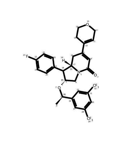 C[C@@H](O[C@H]1CN2C(=O)C=C(C3=CCOCC3)C[C@H]2C1c1ccc(F)cc1)c1cc(C(F)(F)F)cc(C(F)(F)F)c1